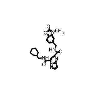 Cn1c(=O)oc2ccc(CNC(=O)c3cc(C(=O)NCC4CCCCC4)n4nccc4n3)cc21